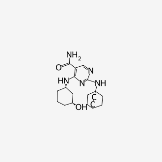 NC(=O)c1cnc(NC23CCC(CC2)CC3)nc1N[C@@H]1CCC[C@H](O)C1